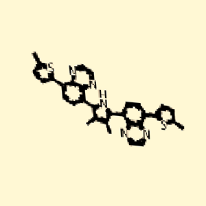 Cc1ccc(-c2ccc(-c3[nH]c(-c4ccc(-c5ccc(C)s5)c5nccnc45)c(C)c3C)c3nccnc23)s1